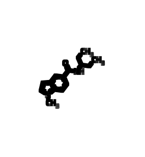 CCC(CC)NC(=O)c1ccc2c(ccn2C)c1